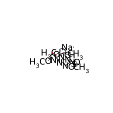 CCOc1cccc(-c2nc3ncc(NS(C)(=O)=O)nc3n2-c2c(OC)cccc2OC)n1.[Na]